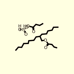 CCCC(=O)O.CCCCCCCCC(CCCCCC)COC(=O)CCC.O=[SH](=O)O